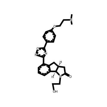 CN(C)CCOc1ccc(-c2nc(-c3cccc4c3C[C@H]3CC(=O)N(CCO)[C@@H]43)no2)cc1